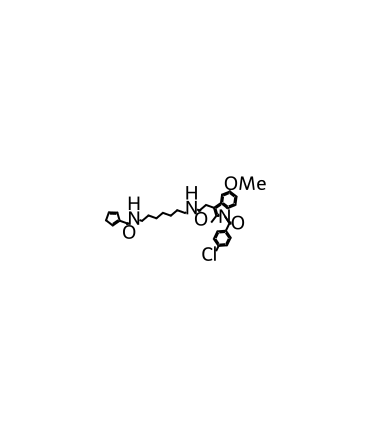 COc1ccc2c(c1)c(CC(=O)NCCCCCCCNC(=O)C1=CCC=C1)c(C)n2C(=O)c1ccc(Cl)cc1